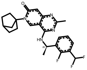 Cc1nc(N[C@H](C)c2cccc(C(F)F)c2F)c2cn(C34CCC(CC3)C4)c(=O)cc2n1